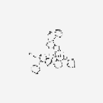 CC1=Cc2c(ccc(CC(C)C)c2-c2ccccc2)[CH]1[Zr]([Cl])([Cl])([c]1cccc2c1[SiH2]c1ccccc1-2)[CH]1C(C)=Cc2c1ccc(CC(C)C)c2-c1ccccc1